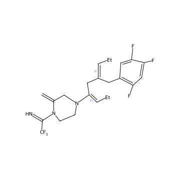 C=C1CN(/C(=C/CC)C/C(=C/CC)Cc2cc(F)c(F)cc2F)CCN1C(=N)C(F)(F)F